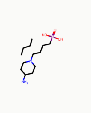 CCCC.NC1CCN(CCCCP(=O)(O)O)CC1